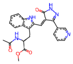 COC(=O)C(Cc1c(C=C2C(=O)NN=C2c2cccnc2)[nH]c2ccccc12)NC(C)=O